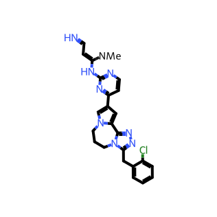 CN/C(=C\C=N)Nc1nccc(-c2cc3n(c2)CCCn2c(Cc4ccccc4Cl)nnc2-3)n1